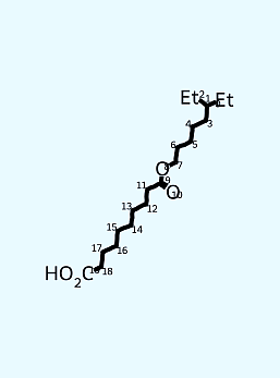 CCC(CC)CCCCCOC(=O)CCCCCCCCC(=O)O